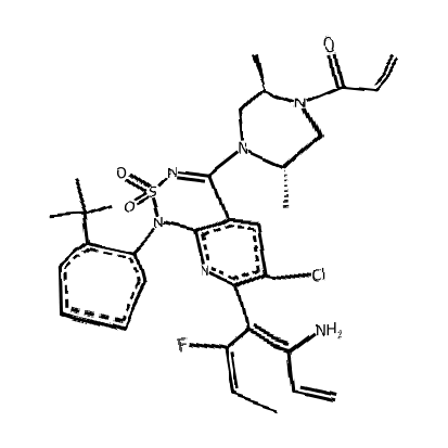 C=CC(=O)N1C[C@H](C)N(C2=NS(=O)(=O)N(c3ccccc3C(C)(C)C)c3nc(C(/C(F)=C\C)=C(\N)C=C)c(Cl)cc32)C[C@H]1C